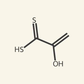 C=C(O)C(=S)S